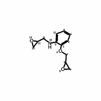 c1ccc(OCC2CO2)c(NCC2CO2)c1